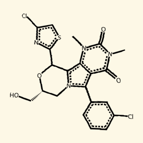 Cn1c(=O)c2c(-c3cccc(Cl)c3)n3c(c2n(C)c1=O)C(c1nc(Cl)cs1)O[C@@H](CO)C3